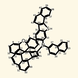 c1ccc2c(c1)Oc1ccccc1C21c2cc(N(c3ccc4ccccc4c3)c3ccc4c(c3)sc3c5ccccc5ccc43)ccc2-c2cccc3cccc1c23